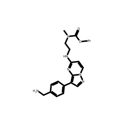 CC(C)OC(=O)N(C)CCNc1ccn2ncc(-c3ccc(CN)cc3)c2n1